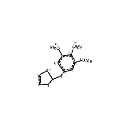 COc1cc(CC2CC=CS2)cc(OC)c1OC